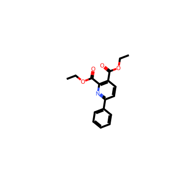 CCOC(=O)c1ccc(-c2ccccc2)nc1C(=O)OCC